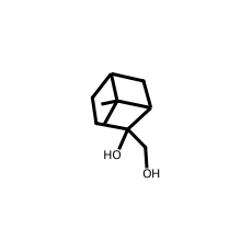 CC1(C)C2CCC(O)(CO)C1C2